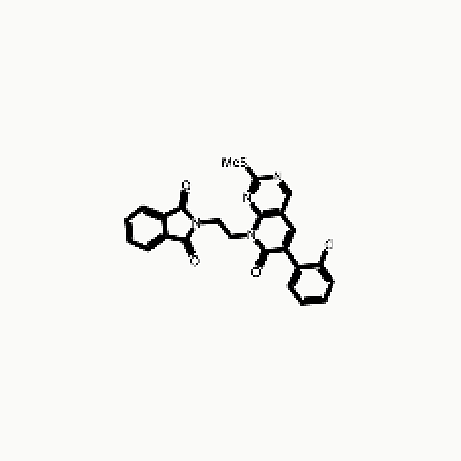 CSc1ncc2cc(-c3ccccc3Cl)c(=O)n(CCN3C(=O)c4ccccc4C3=O)c2n1